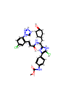 COC(=O)Nc1ccc(-c2nc([C@H](CC3CCC(=O)CC3)NC(=O)/C=C/c3cc(Cl)ccc3-n3cnnn3)[nH]c2Cl)cc1